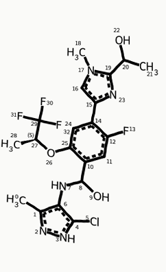 Cc1n[nH]c(Cl)c1NC(O)c1cc(F)c(-c2cn(C)c(C(C)O)n2)cc1O[C@@H](C)C(F)(F)F